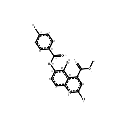 COC(=O)c1cc(Cl)nc2ccc(NC(=O)c3ccc(F)cc3)c(Br)c12